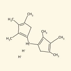 CC1=C(C)C(C)=[C]([Hf][C]2=C(C)C(C)=C(C)C2)C1.[H-].[H-]